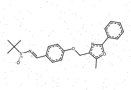 Cc1oc(-c2ccccc2)nc1COc1ccc(/C=N/[S@+]([O-])C(C)(C)C)cc1